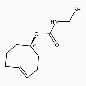 O=C(NCS)O[C@H]1CC/C=C/CCC1